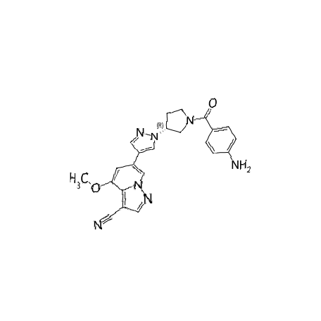 COc1cc(-c2cnn([C@@H]3CCN(C(=O)c4ccc(N)cc4)C3)c2)cn2ncc(C#N)c12